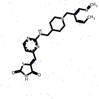 C=N/C=C(\C=C/C)CN1CCC(CNc2nccc(/C=C3\SC(=O)NC3=O)n2)CC1